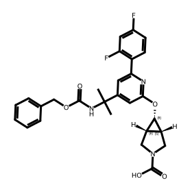 CC(C)(NC(=O)OCc1ccccc1)c1cc(O[C@@H]2[C@@H]3CN(C(=O)O)C[C@@H]32)nc(-c2ccc(F)cc2F)c1